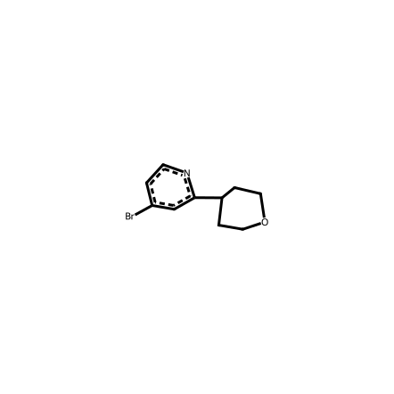 Brc1ccnc(C2CCOCC2)c1